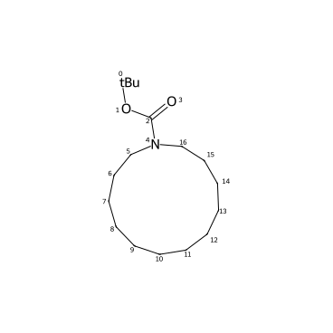 CC(C)(C)OC(=O)N1CCCCCCCCCCCC1